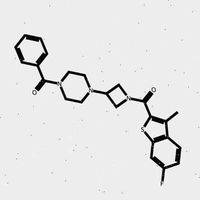 Cc1c(C(=O)N2CC(N3CCN(C(=O)c4ccccc4)CC3)C2)sc2cc(F)ccc12